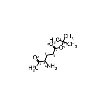 CC(=O)C(N)CCC(=O)OC(C)(C)C